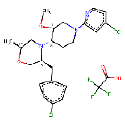 CO[C@H]1CN(c2cc(Cl)ccn2)CC[C@@H]1N1C[C@H](C)OC[C@@H]1Cc1ccc(Cl)cc1.O=C(O)C(F)(F)F